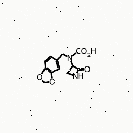 O=C1NCC1N(Cc1ccc2c(c1)OCO2)C(=O)O